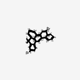 CC1(C)c2cc(Br)ccc2-c2cc3c4ccccc4c(Br)cc3c3cccc1c23